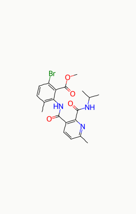 COC(=O)c1c(Br)ccc(C)c1NC(=O)c1ccc(C)nc1C(=O)NC(C)C